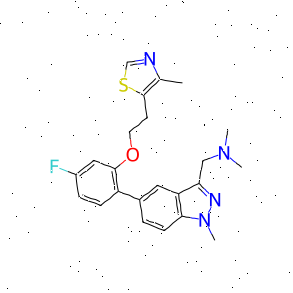 Cc1ncsc1CCOc1cc(F)ccc1-c1ccc2c(c1)c(CN(C)C)nn2C